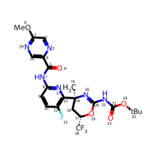 COc1cnc(C(=O)Nc2ccc(F)c([C@]3(C)C[C@@H](C(F)(F)F)OC(NC(=O)OC(C)(C)C)=N3)n2)cn1